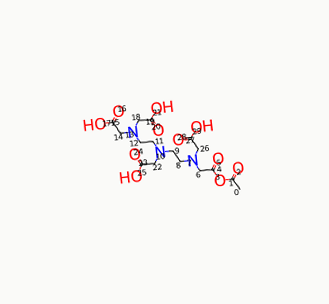 CC(=O)OC(=O)CN(CCN(CCN(CC(=O)O)CC(=O)O)CC(=O)O)CC(=O)O